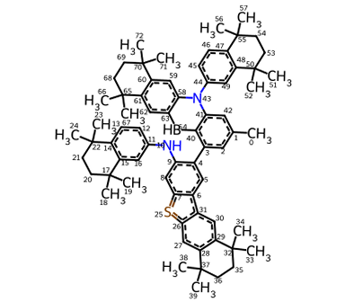 Cc1cc(-c2cc3c(cc2Nc2ccc4c(c2)C(C)(C)CCC4(C)C)sc2cc4c(cc23)C(C)(C)CCC4(C)C)c2c(c1)N(c1ccc3c(c1)C(C)(C)CCC3(C)C)c1cc3c(cc1B2)C(C)(C)CCC3(C)C